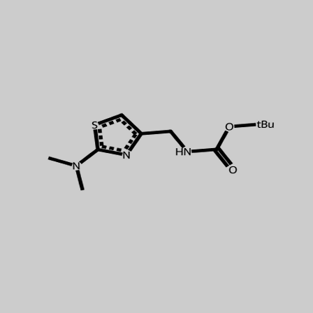 CN(C)c1nc(CNC(=O)OC(C)(C)C)cs1